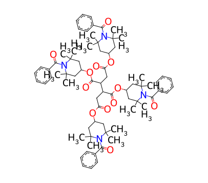 CC1(C)CC(OC(=O)CC(C(=O)OC2CC(C)(C)N(C(=O)c3ccccc3)C(C)(C)C2)C(CC(=O)OC2CC(C)(C)N(C(=O)c3ccccc3)C(C)(C)C2)C(=O)OC2CC(C)(C)N(C(=O)c3ccccc3)C(C)(C)C2)CC(C)(C)N1C(=O)c1ccccc1